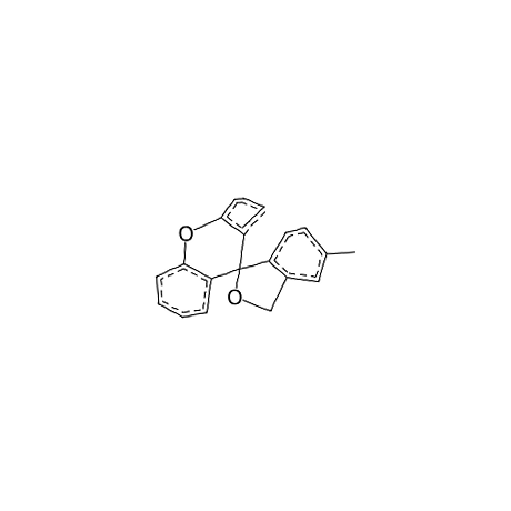 Cc1ccc2c(c1)COC21c2ccccc2Oc2ccccc21